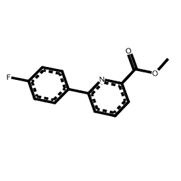 COC(=O)c1cccc(-c2ccc(F)cc2)n1